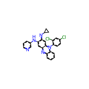 Clc1ccc(-n2c3c/c(=N\C4CC4)c(Nc4cccnc4)cc-3nc3ccccc32)c(Cl)c1